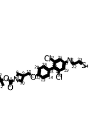 CC(C)(C)OC(=O)N1CC(COc2ccc(-c3c(Cl)cc(N=CC=S)cc3Cl)cc2)C1